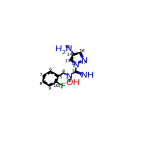 N=C(N(O)Cc1ccccc1F)n1cc(N)cn1